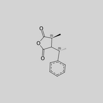 C[C@@H]1C(=O)OC(=O)C1[C@H](C)c1ccccc1